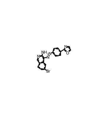 Nc1ncc2ccc(Br)cc2c1/N=N/c1ccc(-c2ncco2)cc1